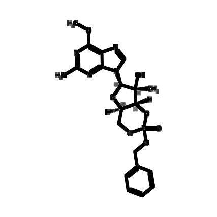 COc1nc(N)nc2c1ncn2[C@@H]1O[C@@H]2COP(=O)(OCc3ccccc3)O[C@H]2[C@@]1(C)O